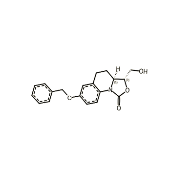 O=C1O[C@@H](CO)[C@@H]2CCc3cc(OCc4ccccc4)ccc3N12